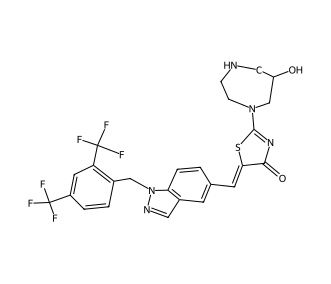 O=C1N=C(N2CCNCC(O)C2)S/C1=C\c1ccc2c(cnn2Cc2ccc(C(F)(F)F)cc2C(F)(F)F)c1